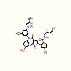 CCCc1cn(-c2cc(C#N)cc(N(C(=O)c3cc(-c4cc(Cl)ccc4C(=O)NCC(C)/C=C\C(C)C)n(C)c3C)c3ccc(O)cc3)c2)nn1